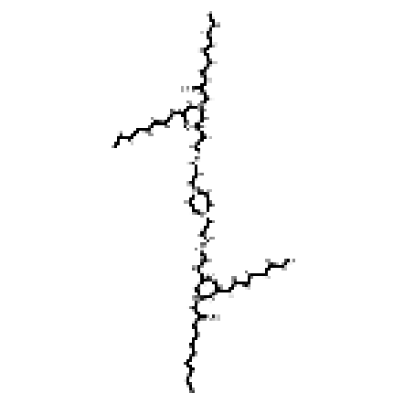 CCCCCCCCC(O)CN(CCCCSSCCN1CCN(CCSSCCCCN(CC(O)CCCCCCCC)CC(O)CCCCCCCC)CC1)CC(O)CCCCCCCC